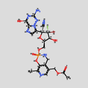 CC(=O)OCc1cnc(C)c2c1CNP(=O)(OC[C@H]1O[C@@](C#N)(c3cnc4c(O)nc(N)nn34)[C@@](F)(Br)C1O)O2